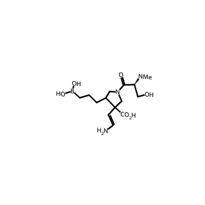 CN[C@@H](CO)C(=O)N1CC(CCCB(O)O)C(/C=C/N)(C(=O)O)C1